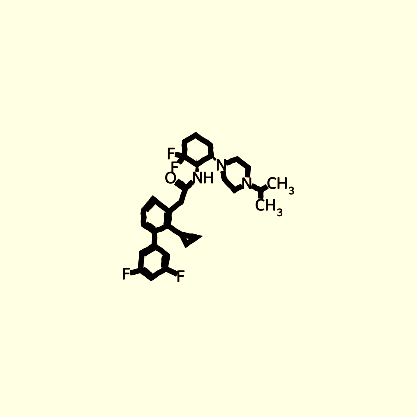 CC(C)N1CCN([C@H]2CCCC(F)(F)[C@@H]2NC(=O)Cc2cccc(-c3cc(F)cc(F)c3)c2C2CC2)CC1